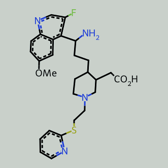 COc1ccc2ncc(F)c(C(N)CCC3CCN(CCSc4ccccn4)CC3CC(=O)O)c2c1